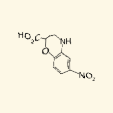 O=C(O)C1CNc2cc([N+](=O)[O-])ccc2O1